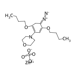 CCCCOC1=CC(N2CCOCC2)=C(OCCCC)CC1=[N+]=[N-].O=S(=O)([O-])[O-].[Zn+2]